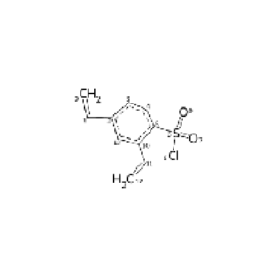 C=Cc1ccc(S(=O)(=O)Cl)c(C=C)c1